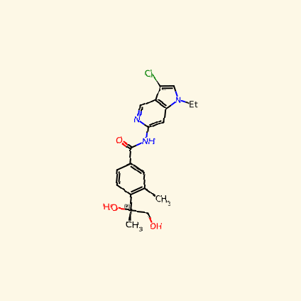 CCn1cc(Cl)c2cnc(NC(=O)c3ccc([C@@](C)(O)CO)c(C)c3)cc21